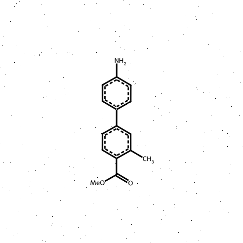 COC(=O)c1ccc(-c2ccc(N)cc2)cc1C